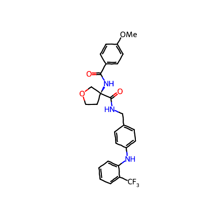 COc1ccc(C(=O)N[C@@]2(C(=O)NCc3ccc(Nc4ccccc4C(F)(F)F)cc3)CCOC2)cc1